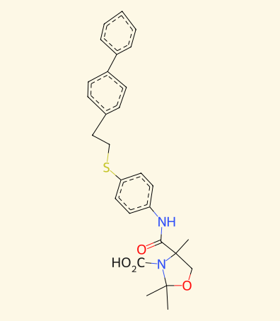 CC1(C)OCC(C)(C(=O)Nc2ccc(SCCc3ccc(-c4ccccc4)cc3)cc2)N1C(=O)O